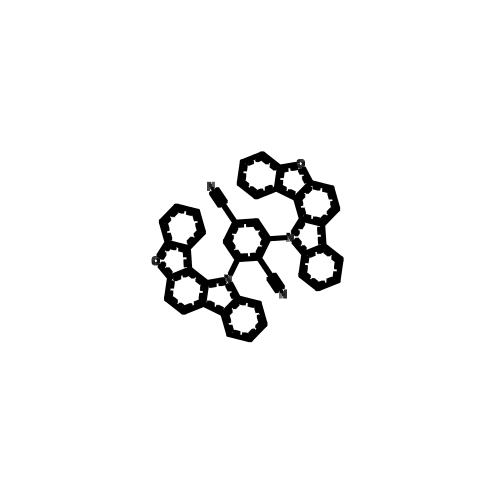 N#Cc1cc(-n2c3ccccc3c3ccc4oc5ccccc5c4c32)c(C#N)c(-n2c3ccccc3c3ccc4oc5ccccc5c4c32)c1